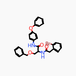 O=C(Cc1ccccc1Br)NC(COCc1ccccc1)C(=O)Nc1ccc(Oc2ccccc2)cc1